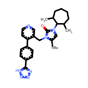 CCCCc1cn(C2C(C)CCCCC2C)c(=O)n1Cc1cnccc1-c1ccc(-c2nnn[nH]2)cc1